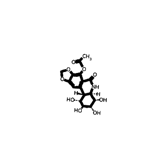 CC(=O)Oc1c2c(cc3c1C(=O)N[C@H]1[C@H](O)[C@H](O)[C@@H](O)[C@H](O)[C@H]31)OCO2